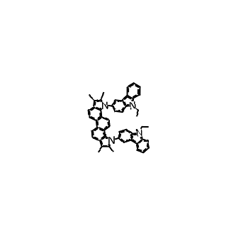 CCn1c2ccccc2c2cc(-n3c(C)c(C)c4ccc5c6ccc7c(C)c(C)n(-c8ccc9c(c8)c8ccccc8n9CC)c7c6ccc5c43)ccc21